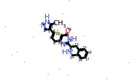 Cc1[nH]ncc1C1=CCc2nc(C3Cc4ccccc4CN3)[nH]c(=O)c2S1